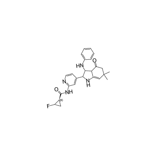 CC1(C)C=C2NC(c3ccnc(NC(=O)[C@H]4CC4F)c3)C(Nc3ccccc3)C2C(=O)C1